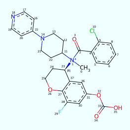 C[N+](C(=O)c1ccccc1Cl)(C1CCN(c2ccncc2)CC1)[C@@H]1CCOc2c(F)cc(OC(=O)O)cc21